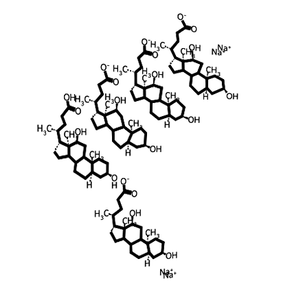 C[C@H](CCC(=O)O)[C@H]1CCC2C3CC[C@@H]4C[C@H](O)CC[C@]4(C)C3C[C@H](O)[C@@]21C.C[C@H](CCC(=O)[O-])[C@H]1CCC2C3CC[C@@H]4C[C@H](O)CC[C@]4(C)C3C[C@H](O)[C@@]21C.C[C@H](CCC(=O)[O-])[C@H]1CCC2C3CC[C@@H]4C[C@H](O)CC[C@]4(C)C3C[C@H](O)[C@@]21C.C[C@H](CCC(=O)[O-])[C@H]1CCC2C3CC[C@@H]4C[C@H](O)CC[C@]4(C)C3C[C@H](O)[C@@]21C.C[C@H](CCC(=O)[O-])[C@H]1CCC2C3CC[C@@H]4C[C@H](O)CC[C@]4(C)C3C[C@H](O)[C@@]21C.[Na+].[Na+].[Na+].[Na+]